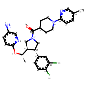 C[C@H](Oc1ccc(N)cn1)[C@H]1CN(C(=O)C2CCN(c3ccc(C#N)cn3)CC2)C[C@@H]1c1ccc(F)c(F)c1